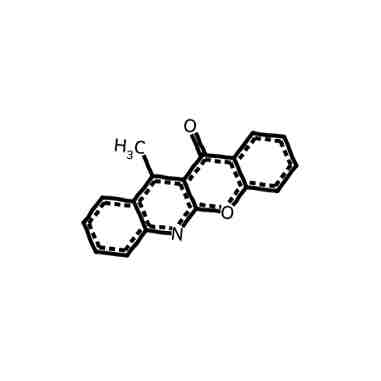 Cc1c2ccccc2nc2oc3ccccc3c(=O)c12